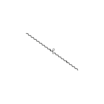 CCCCCCCC/C=C/CCCCCCCCOC(=O)C=CCCCCCCCCCCCCCCCCC